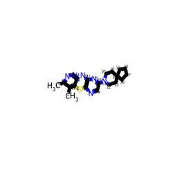 Cc1nccc(Sc2ncc(N3CCC4(CCCC4)CC3)nc2N)c1C